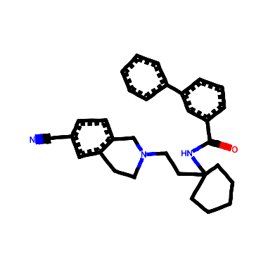 N#Cc1ccc2c(c1)CCN(CCC1(NC(=O)c3cccc(-c4ccccc4)c3)CCCCC1)C2